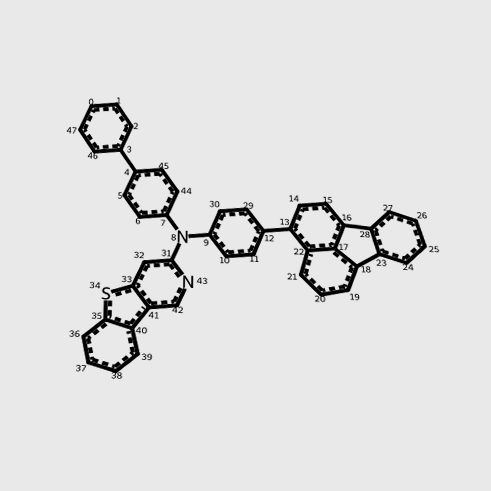 c1ccc(-c2ccc(N(c3ccc(-c4ccc5c6c(cccc46)-c4ccccc4-5)cc3)c3cc4sc5ccccc5c4cn3)cc2)cc1